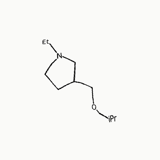 CCN1CCC(COC(C)C)C1